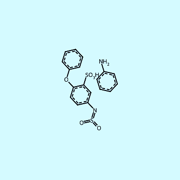 Nc1ccccc1.O=S(=O)=Nc1ccc(Oc2ccccc2)c(S(=O)(=O)O)c1